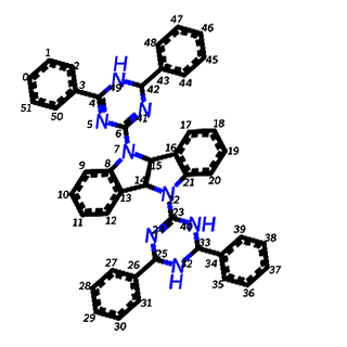 c1ccc(C2=NC(N3c4ccccc4C4C3c3ccccc3N4C3=NC(c4ccccc4)NC(c4ccccc4)N3)=NC(c3ccccc3)N2)cc1